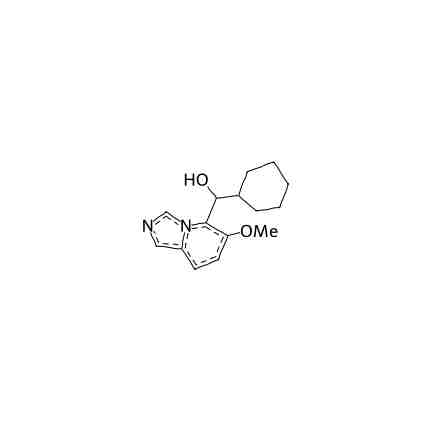 COc1ccc2cncn2c1C(O)C1CCCCC1